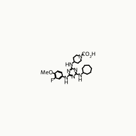 COc1ccc(Nc2nc(NC3CCCCCC3)nc(NC3CCN(C(=O)O)CC3)n2)cc1F